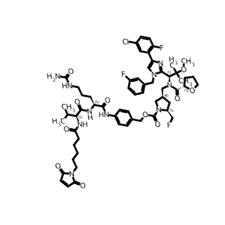 COC(C)(C)[C@H](c1nc(-c2cc(Cl)ccc2F)cn1Cc1cccc(F)c1)N(C[C@H]1C[C@@H](CF)N(C(=O)OCc2ccc(NC(=O)[C@H](CCCNC(N)=O)NC(=O)[C@@H](NC(=O)CCCCCN3C(=O)C=CC3=O)C(C)C)cc2)C1)C(=O)[C@@H]1CCCO1